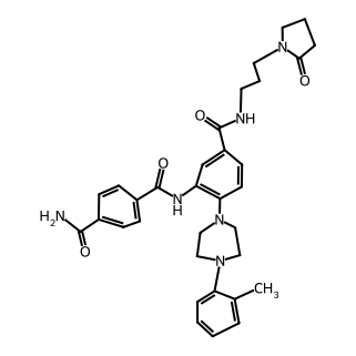 Cc1ccccc1N1CCN(c2ccc(C(=O)NCCCN3CCCC3=O)cc2NC(=O)c2ccc(C(N)=O)cc2)CC1